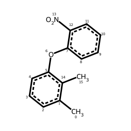 Cc1cccc(Oc2ccc[c]c2[N+](=O)[O-])c1C